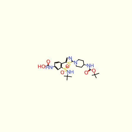 CC(C)(C)NS(=O)(=O)c1cc(NC(=O)O)ccc1-c1cnc(N2CCC(NC(=O)OC(C)(C)C)CC2)s1